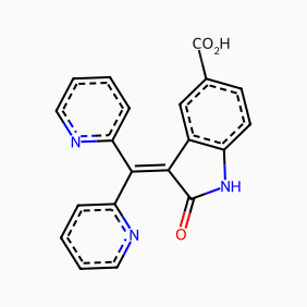 O=C1Nc2ccc(C(=O)O)cc2C1=C(c1ccccn1)c1ccccn1